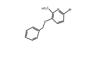 O=C(O)c1nc(Br)ccc1OCc1ccccc1